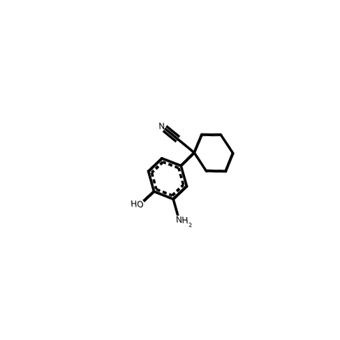 N#CC1(c2ccc(O)c(N)c2)CCCCC1